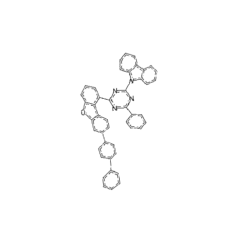 c1ccc(-c2ccc(-c3ccc4c(c3)oc3cccc(-c5nc(-c6ccccc6)nc(-n6c7ccccc7c7ccccc76)n5)c34)cc2)cc1